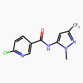 Cn1nc(C(F)(F)F)cc1NC(=O)c1ccc(Cl)nc1